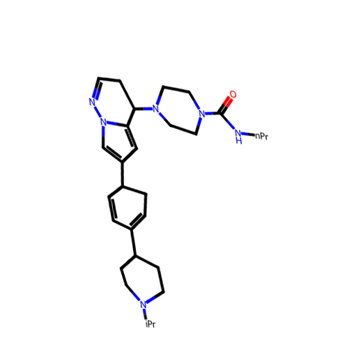 CCCNC(=O)N1CCN(C2CC=Nn3cc(C4C=CC(C5CCN(C(C)C)CC5)=CC4)cc32)CC1